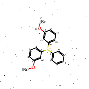 CC(C)(C)Oc1cccc([S+](c2ccccc2)c2cccc(OC(C)(C)C)c2)c1